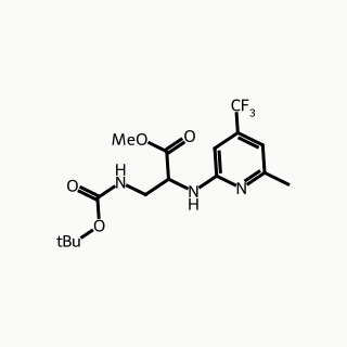 COC(=O)C(CNC(=O)OC(C)(C)C)Nc1cc(C(F)(F)F)cc(C)n1